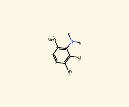 CCc1c(C(C)C)ccc(OC)c1N(C)C